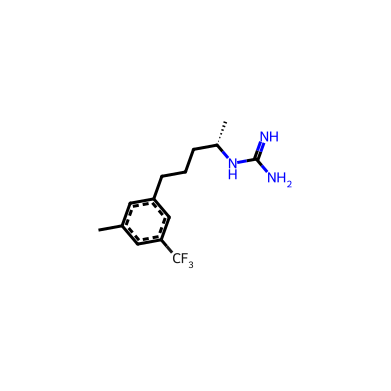 Cc1cc(CCC[C@H](C)NC(=N)N)cc(C(F)(F)F)c1